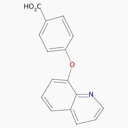 O=C(O)c1ccc(Oc2cccc3cccnc23)cc1